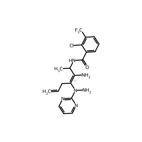 C=CC/C(=C(/N)C(C)NC(=O)c1cccc(C(F)(F)F)c1Cl)N(N)c1ncccn1